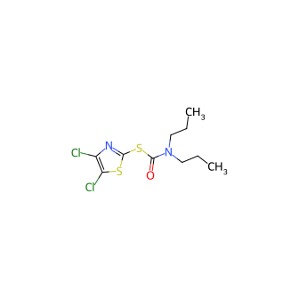 CCCN(CCC)C(=O)Sc1nc(Cl)c(Cl)s1